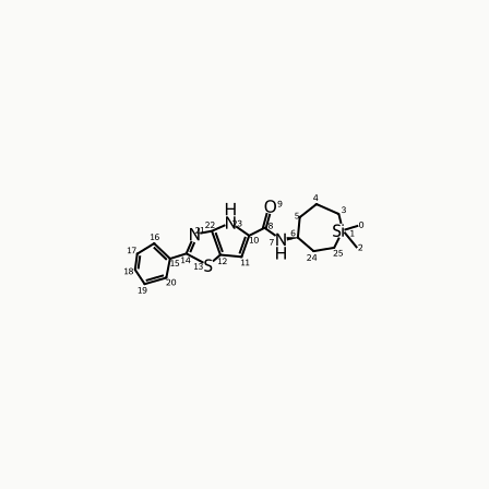 C[Si]1(C)CCC[C@H](NC(=O)c2cc3sc(-c4ccccc4)nc3[nH]2)CC1